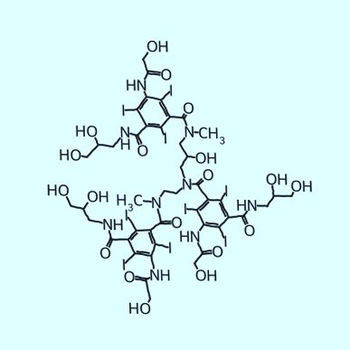 CN(CCN(CC(O)CN(C)C(=O)c1c(I)c(NC(=O)CO)c(I)c(C(=O)NCC(O)CO)c1I)C(=O)c1c(I)c(NC(=O)CO)c(I)c(C(=O)NCC(O)CO)c1I)C(=O)c1c(I)c(NC(=O)CO)c(I)c(C(=O)NCC(O)CO)c1I